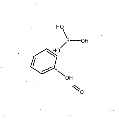 C=O.OB(O)O.Oc1ccccc1